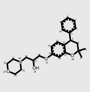 CC1(C)CC(c2ccccc2)c2ccc(OCC(O)CN3CCOCC3)cc2O1